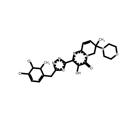 CC1C(Cc2nnc(-c3nc4n(c(=O)c3O)CC(C)(N3CCOCC3)C=C4)o2)=CC=C(Cl)C1Cl